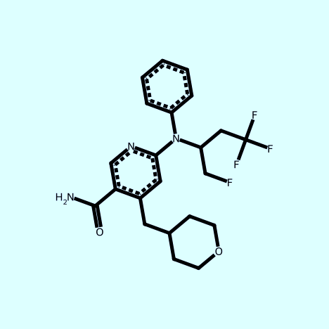 NC(=O)c1cnc(N(c2ccccc2)C(CF)CC(F)(F)F)cc1CC1CCOCC1